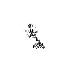 Cc1nccn1-c1ccc([C@H](C)NC(=O)[C@@H]2C[C@@H](O)CN2C(=O)C(NC(=O)COCC2CCN(c3ccc(C(=O)NC4C(C)(C)C(Oc5ccc(C#N)c(Cl)c5)C4(C)C)cn3)CC2)C(C)(C)C)cc1